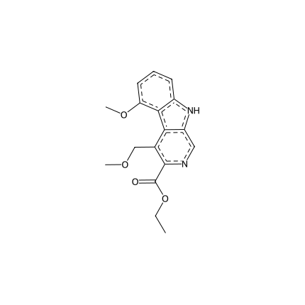 CCOC(=O)c1ncc2[nH]c3cccc(OC)c3c2c1COC